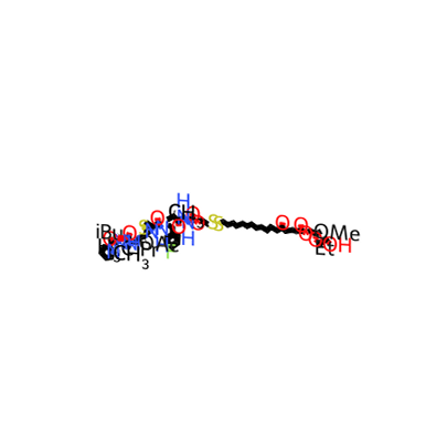 CCC(CO)OC(COC(=O)CCCC(=O)CCCCCCCCCCCCSSCCOC(=O)NNC(=O)[C@@H](C)C[C@H](Cc1ccc(F)cc1)NC(=O)c1csc([C@@H](C[C@H](C(C)C)N(C)C(=O)C(NC(=O)[C@H]2CCCCN2C)[C@@H](C)CC)OC(C)=O)n1)OC